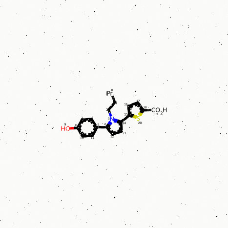 CC(C)CCn1c(-c2ccc(O)cc2)ccc1-c1ccc(C(=O)O)s1